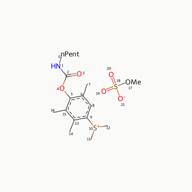 CCCCCNC(=O)Oc1c(C)cc([S+](C)C)c(C)c1C.COS(=O)(=O)[O-]